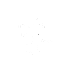 Cn1c2c(c3ccccc31)C(C)(C)C1C=CC2C1